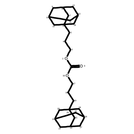 O=C(OCCCC12CC3CC(CC(C3)C1)C2)OCCCC12CC3CC(CC(C3)C1)C2